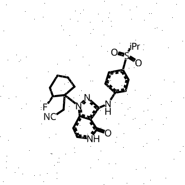 CC(C)S(=O)(=O)c1ccc(Nc2nn(C3(CC#N)CCCCC3F)c3cc[nH]c(=O)c23)cc1